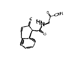 O=C(O)CNC(=O)C1C(=S)C=Cc2ccccc21